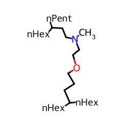 CCCCCCC(CCCCCC)CCCOCCN(C)CCC(CCCCC)CCCCCC